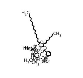 CCCCCC/C=C/[C@@H](OC(=O)c1ccccc1)[C@H](CO[C@@H]1O[C@H](COS(=O)(=O)[O-])[C@@H]2OC(C)(C)O[C@@H]2[C@H]1OS(=O)(=O)[O-])NC(=O)CCCCCCCCCCCCCCC.[Na+].[Na+]